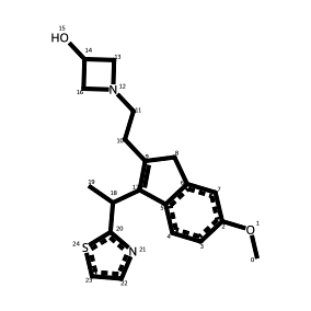 COc1ccc2c(c1)CC(CCN1CC(O)C1)=C2C(C)c1nccs1